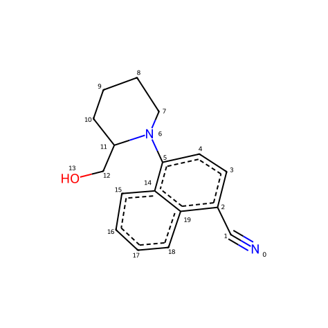 N#Cc1ccc(N2CCCCC2CO)c2ccccc12